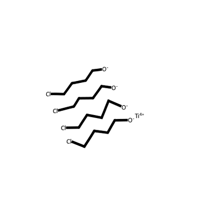 [O-]CCCCCl.[O-]CCCCCl.[O-]CCCCCl.[O-]CCCCCl.[Ti+4]